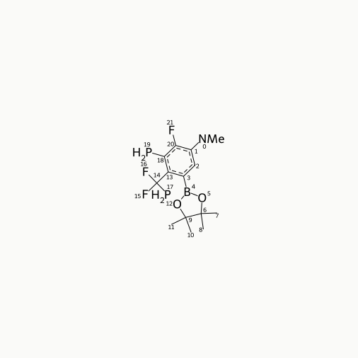 CNc1cc(B2OC(C)(C)C(C)(C)O2)c(C(F)(F)P)c(P)c1F